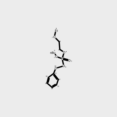 CCCCOP(=O)(OCCOCC)OOc1ccccc1